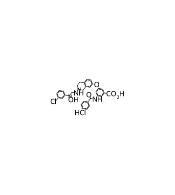 Cl.O=C(O)c1cc(NC(=O)c2ccccc2)cc(Oc2ccc3c(c2)C[C@@H](NC[C@@H](O)c2cccc(Cl)c2)CC3)c1